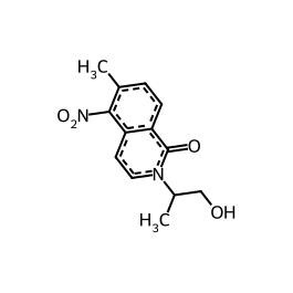 Cc1ccc2c(=O)n(C(C)CO)ccc2c1[N+](=O)[O-]